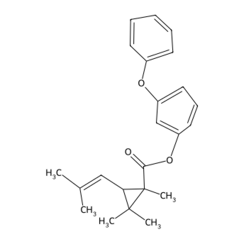 CC(C)=CC1C(C)(C)C1(C)C(=O)Oc1cccc(Oc2ccccc2)c1